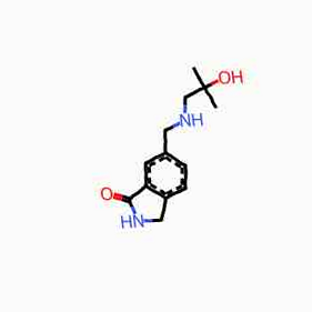 CC(C)(O)CNCc1ccc2c(c1)C(=O)NC2